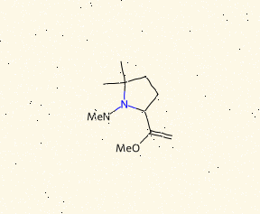 C=C(OC)C1CCC(C)(C)N1NC